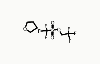 C1CCOC1.O=S(=O)(OCC(F)(F)F)C(F)(F)F